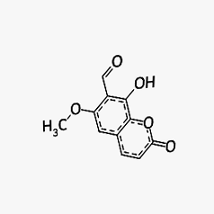 COc1cc2ccc(=O)oc2c(O)c1C=O